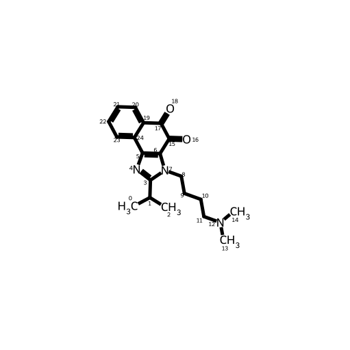 CC(C)c1nc2c(n1CCCCN(C)C)C(=O)C(=O)c1ccccc1-2